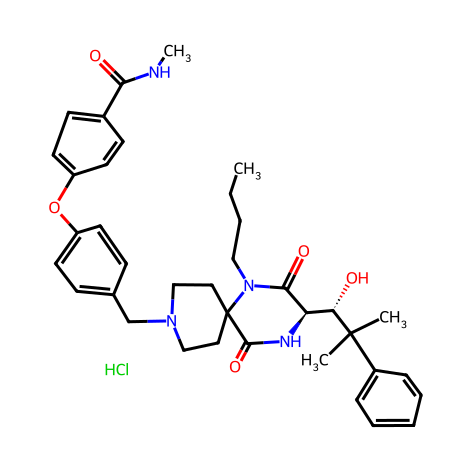 CCCCN1C(=O)[C@@H]([C@H](O)C(C)(C)c2ccccc2)NC(=O)C12CCN(Cc1ccc(Oc3ccc(C(=O)NC)cc3)cc1)CC2.Cl